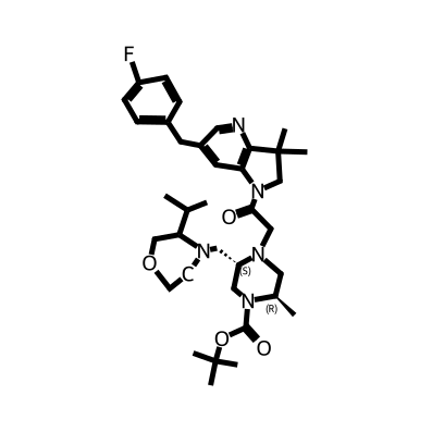 CC(C)C1COCCN1C[C@H]1CN(C(=O)OC(C)(C)C)[C@H](C)CN1CC(=O)N1CC(C)(C)c2ncc(Cc3ccc(F)cc3)cc21